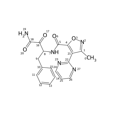 Cc1noc(C(=O)NC(Cc2ccccc2)C(=O)C(N)=O)c1-c1ncccn1